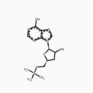 C[Si](C)(C)OC[C@@H]1CC(O)[C@H](n2cnc3c(O)ncnc32)O1